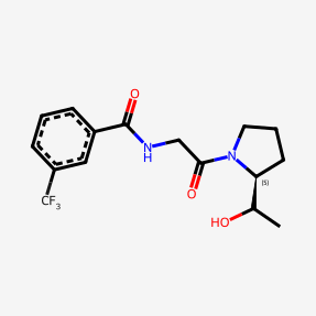 CC(O)[C@@H]1CCCN1C(=O)CNC(=O)c1cccc(C(F)(F)F)c1